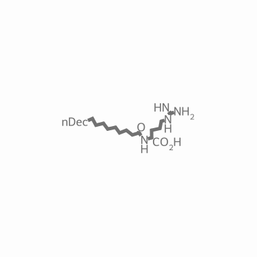 CCCCCCCCCCCCCCCCCCC(=O)N[C@@H](CCCNC(=N)N)C(=O)O